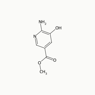 COC(=O)c1cnc(N)c(O)c1